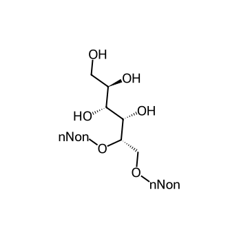 CCCCCCCCCOC[C@H](OCCCCCCCCC)[C@@H](O)[C@H](O)[C@H](O)CO